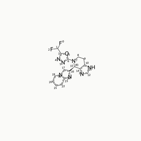 FC(F)c1nnc(N2CCc3[nH]cnc3[C@H]2c2cn3ccccc3n2)o1